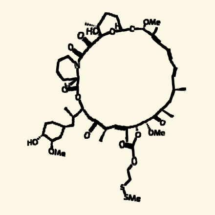 CO[C@H]1C[C@@H]2CC[C@@H](C)[C@@](O)(O2)C(=O)C(=O)N2CCCC[C@H]2C(=O)O[C@H]([C@H](C)C[C@@H]2CC[C@@H](O)[C@H](OC)C2)CC(=O)[C@H](C)/C=C(\C)[C@@H](OC(=O)OCCSSC)[C@@H](OC)C(=O)[C@H](C)C[C@H](C)/C=C/C=C/C=C/1C